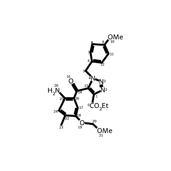 CCOC(=O)c1nnn(Cc2ccc(OC)cc2)c1C(=O)c1cc(OCOC)c(C)cc1N